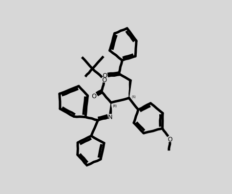 COc1ccc([C@H](CC(=O)c2ccccc2)[C@@H](N=C(c2ccccc2)c2ccccc2)C(=O)OC(C)(C)C)cc1